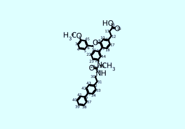 COc1cccc(COc2cc(CCC(=O)O)ccc2-c2cccc(N(C)C(=O)NCCc3ccc(-c4ccccc4)cc3)c2)c1